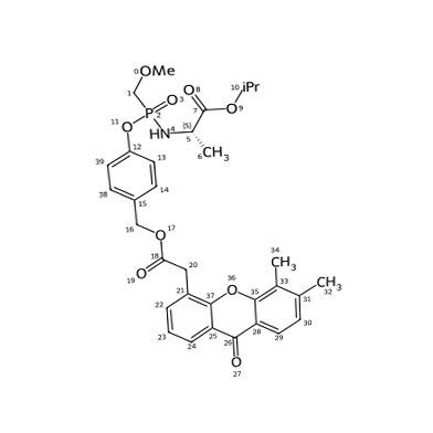 COCP(=O)(N[C@@H](C)C(=O)OC(C)C)Oc1ccc(COC(=O)Cc2cccc3c(=O)c4ccc(C)c(C)c4oc23)cc1